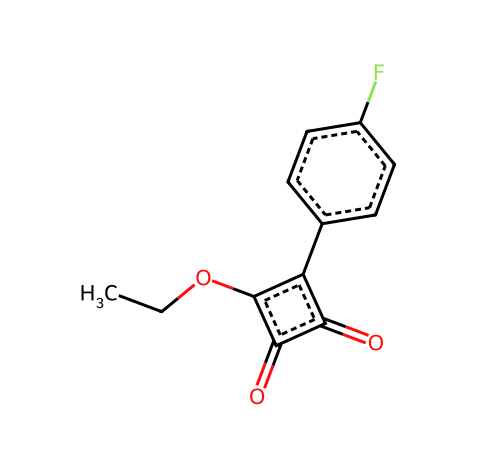 CCOc1c(-c2ccc(F)cc2)c(=O)c1=O